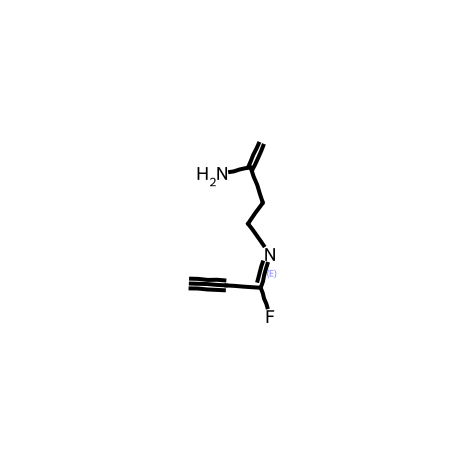 C#C/C(F)=N\CCC(=C)N